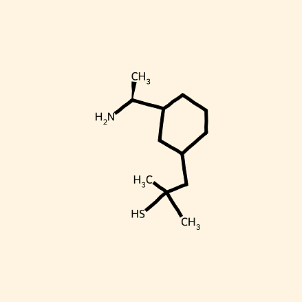 C[C@H](N)C1CCCC(CC(C)(C)S)C1